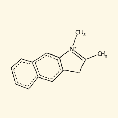 CC1=[N+](C)c2cc3ccccc3cc2C1